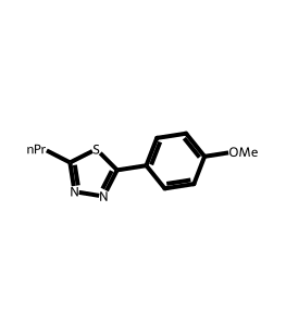 CCCc1nnc(-c2ccc(OC)cc2)s1